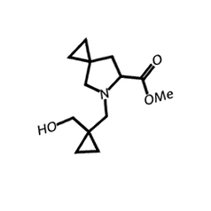 COC(=O)C1CC2(CC2)CN1CC1(CO)CC1